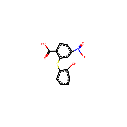 O=C(O)c1ccc([N+](=O)[O-])cc1Sc1ccccc1O